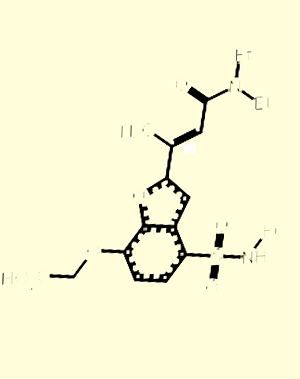 CCNS(=O)(=O)c1ccc(OCC(=O)O)c2oc(/C(C)=C/C(=O)N(CC)CC)cc12